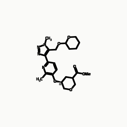 COC(=O)C1COC[C@@H](Oc2ccc(-c3nnn(C)c3COC3CCCCO3)nc2C)C1